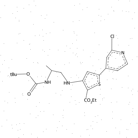 CCOC(=O)c1sc(-c2ccnc(Cl)c2)cc1NCC(C)NC(=O)OC(C)(C)C